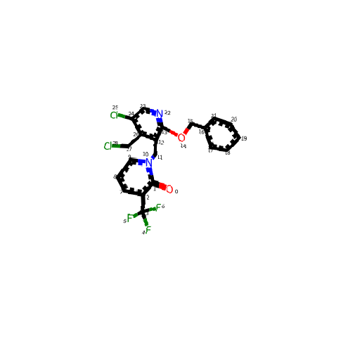 O=c1c(C(F)(F)F)cccn1Cc1c(OCc2ccccc2)ncc(Cl)c1CCl